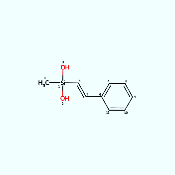 C[Si](O)(O)/C=C/c1ccccc1